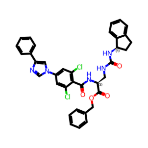 O=C(NC[C@H](NC(=O)c1c(Cl)cc(-n2cnc(-c3ccccc3)c2)cc1Cl)C(=O)OCc1ccccc1)N[C@@H]1CCc2ccccc21